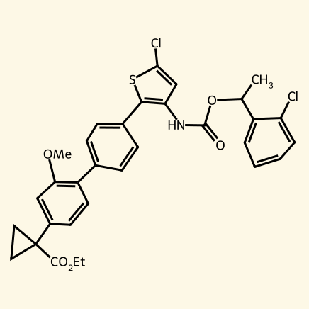 CCOC(=O)C1(c2ccc(-c3ccc(-c4sc(Cl)cc4NC(=O)OC(C)c4ccccc4Cl)cc3)c(OC)c2)CC1